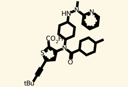 CC1CCC(C(=O)N(c2cc(C#CC(C)(C)C)sc2C(=O)O)C2CCC(NN(C)c3ccccn3)CC2)CC1